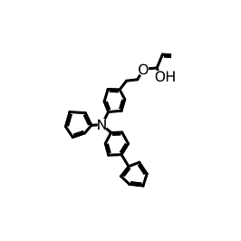 C=CC(O)OCCc1ccc(N(c2ccccc2)c2ccc(-c3ccccc3)cc2)cc1